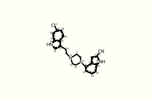 N#Cc1cc2c(N3CCN(CCc4c[nH]c5cc(Cl)ccc45)CC3)cccc2[nH]1